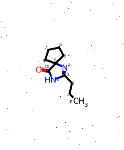 CCCC1=NC2(CCCC2)C(=O)N1